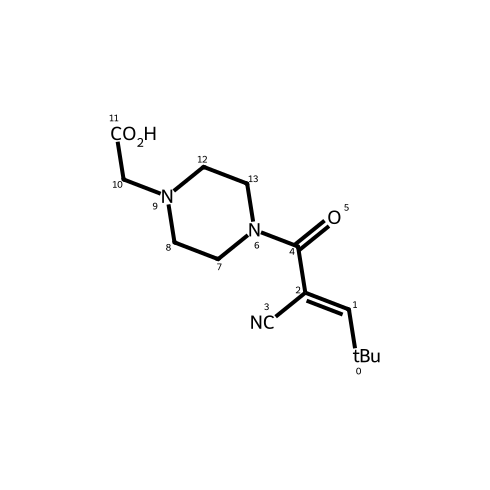 CC(C)(C)/C=C(\C#N)C(=O)N1CCN(CC(=O)O)CC1